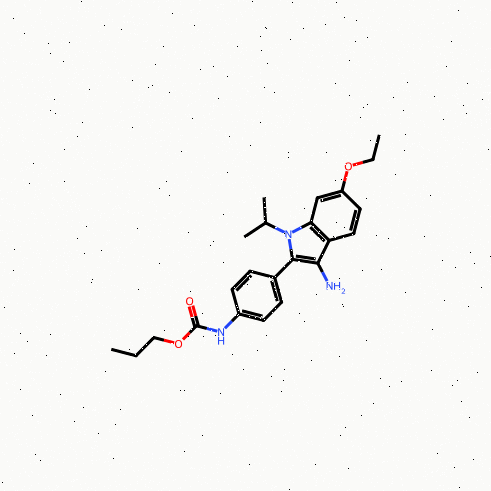 CCCOC(=O)Nc1ccc(-c2c(N)c3ccc(OCC)cc3n2C(C)C)cc1